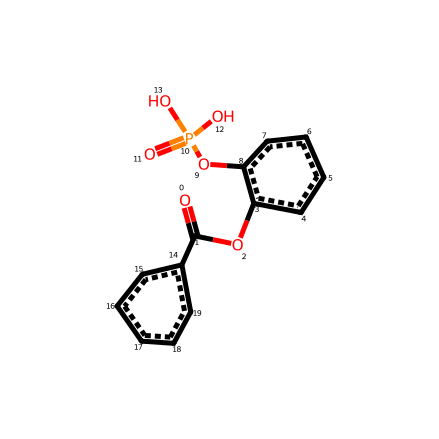 O=C(Oc1ccccc1OP(=O)(O)O)c1ccccc1